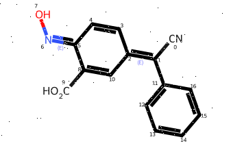 N#C/C(=C1C=C/C(=N\O)C(C(=O)O)=C\1)c1ccccc1